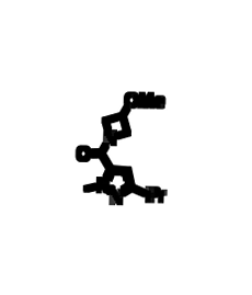 COC1CN(C(=O)c2cc(C(C)C)nn2C)C1